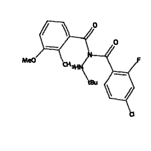 COc1cccc(C(=O)N(NC(C)(C)C)C(=O)c2ccc(Cl)cc2F)c1C